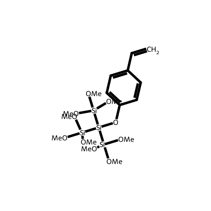 C=Cc1ccc(O[Si]([Si](OC)(OC)OC)([Si](OC)(OC)OC)[Si](OC)(OC)OC)cc1